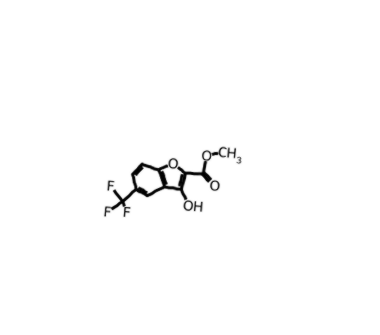 COC(=O)c1oc2ccc(C(F)(F)F)cc2c1O